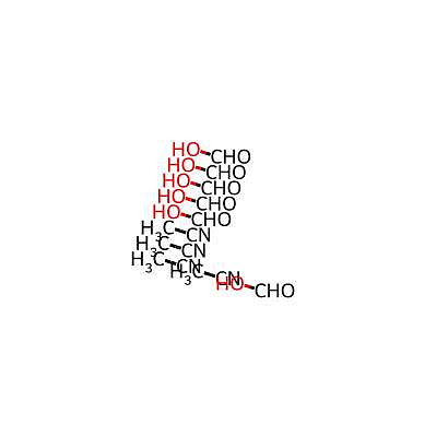 CC#N.CC#N.CC#N.CC#N.O=CO.O=CO.O=CO.O=CO.O=CO.O=CO